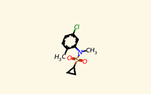 Cc1ccc(Cl)cc1N(C)S(=O)(=O)C1CC1